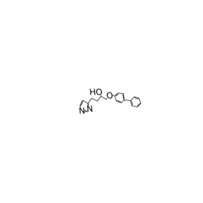 OC(CCc1ccncn1)COc1ccc(-c2ccccc2)cc1